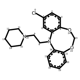 Clc1ccc2c(c1)N(CCN1CCCCC1)c1ccccc1OCO2